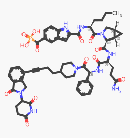 CCCC[C@H](NC(=O)c1cc2cc(C(=O)P(=O)(O)O)ccc2[nH]1)C(=O)N1C[C@@H]2C[C@@H]2[C@H]1C(=O)N[C@@H](CCC(N)=O)C(=O)N[C@H](C(=O)N1CCC(CCC#Cc2cccc3c2CN(C2CCC(=O)NC2=O)C3=O)CC1)c1ccccc1